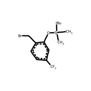 CC(C)(C)[Si](C)(C)Oc1cc(C(F)(F)F)ccc1CBr